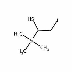 C[Si](C)(C)C(S)CI